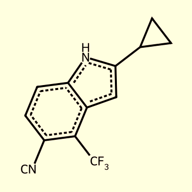 [C-]#[N+]c1ccc2[nH]c(C3CC3)cc2c1C(F)(F)F